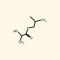 CCCC(C)C(=O)OCC(C)I